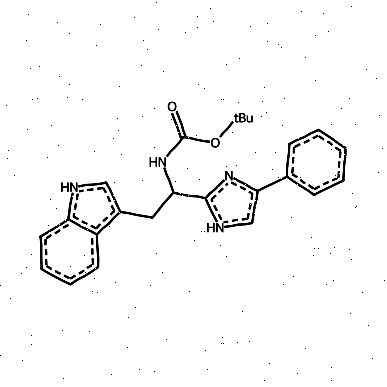 CC(C)(C)OC(=O)NC(Cc1c[nH]c2ccccc12)c1nc(-c2ccccc2)c[nH]1